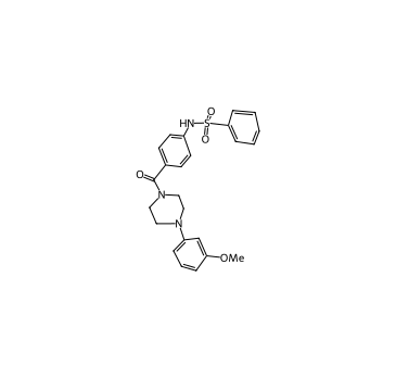 COc1cccc(N2CCN(C(=O)c3ccc(NS(=O)(=O)c4ccccc4)cc3)CC2)c1